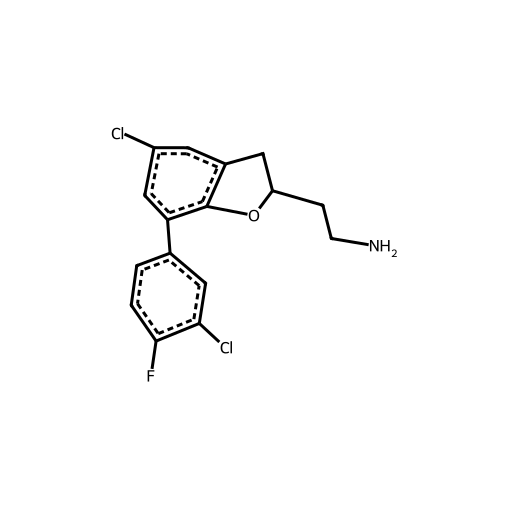 NCCC1Cc2cc(Cl)cc(-c3ccc(F)c(Cl)c3)c2O1